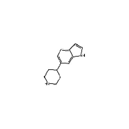 c1cc2ccc(C3CCNCC3)cc2[nH]1